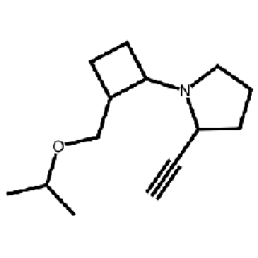 C#CC1CCCN1C1CCC1COC(C)C